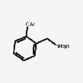 CCCCCCCCc1ccccc1OC(C)=O